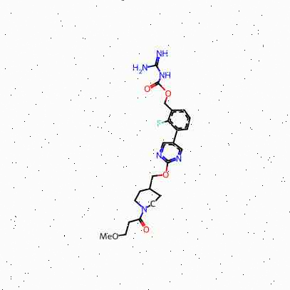 COCCC(=O)N1CCC(COc2ncc(-c3cccc(COC(=O)NC(=N)N)c3F)cn2)CC1